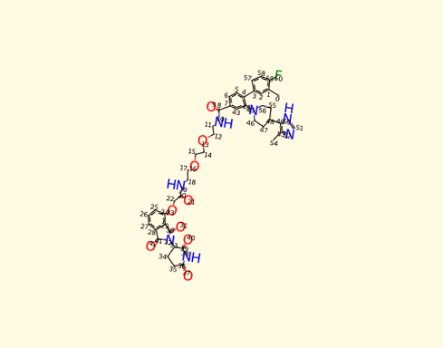 Cc1cc(-c2ccc(C(=O)NCCOCCOCCNC(=O)COc3cccc4c3C(=O)N(C3CCC(=O)NC3=O)C4=O)cc2N2CCC(c3[nH]cnc3C)CC2)ccc1F